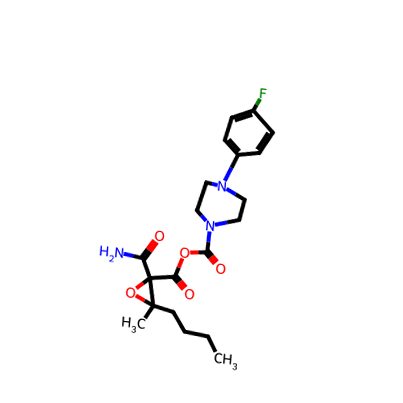 CCCCC1(C)OC1(C(N)=O)C(=O)OC(=O)N1CCN(c2ccc(F)cc2)CC1